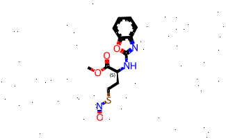 COC(=O)[C@H](CCSN=O)Nc1nc2ccccc2o1